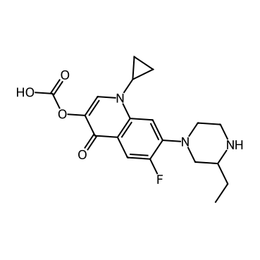 CCC1CN(c2cc3c(cc2F)c(=O)c(OC(=O)O)cn3C2CC2)CCN1